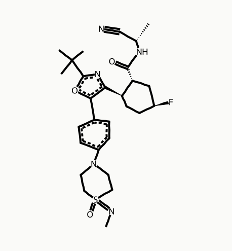 CN=S1(=O)CCN(c2ccc(-c3oc(C(C)(C)C)nc3[C@@H]3CC[C@H](F)C[C@H]3C(=O)N[C@@H](C)C#N)cc2)CC1